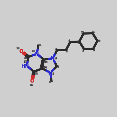 CN1CN(CCCC2CCCCC2)c2c1c(=O)[nH]c(=O)n2C